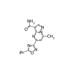 Cc1cc(-c2noc(C(C)C)n2)nc2c(C(N)=O)cnn12